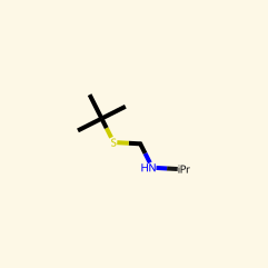 CC(C)NCSC(C)(C)C